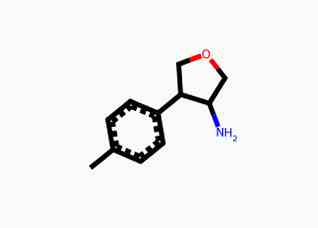 Cc1ccc(C2COCC2N)cc1